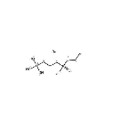 CCOP(=O)([O-])CCC[Si](O)(O)O.[Na+]